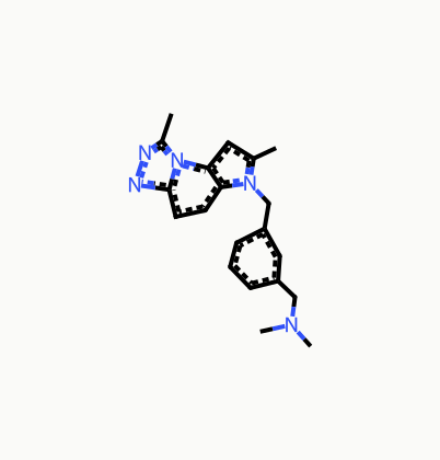 Cc1cc2c(ccc3nnc(C)n32)n1Cc1cccc(CN(C)C)c1